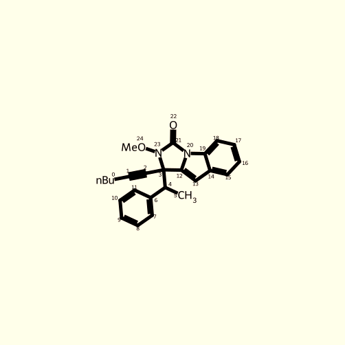 CCCCC#CC1(C(C)c2ccccc2)c2cc3ccccc3n2C(=O)N1OC